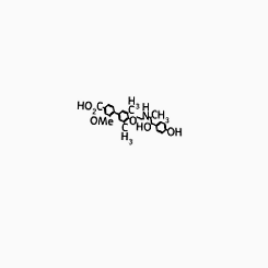 COc1cc(C(=O)O)ccc1-c1cc(C)c(OCCN[C@H](C)[C@@H](O)c2ccc(O)cc2)c(C)c1